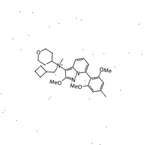 COc1cc(C)cc(OC)c1-c1cccc2c([N+](C)(CC3CCC3)C3CCOCC3)c(OC)nn12